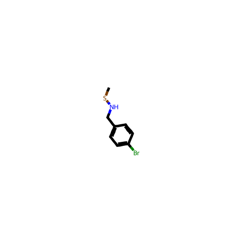 CSNCc1ccc(Br)cc1